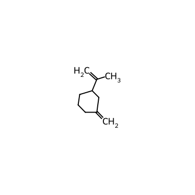 C=C1CCCC(C(=C)C)C1